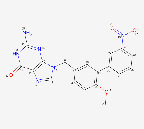 COc1ccc(Cn2cnc3c(=O)[nH]c(N)nc32)cc1-c1cccc([N+](=O)[O-])c1